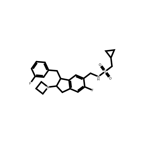 O=S(=O)(CC1CC1)NCc1cc2c(cc1F)CC(N1CCC1)C2Cc1cccc(F)c1